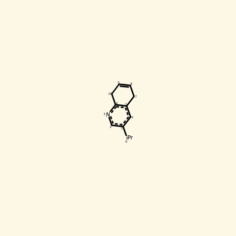 CC(C)c1cnc2c(c1)CC=CC2